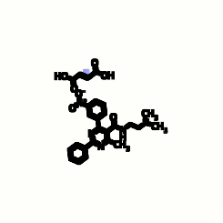 Cc1nc(-c2ccccc2)nc(-c2cccc([N+](=O)[O-])c2)c1C(=O)NCCN(C)C.O=C(O)/C=C/C(=O)O